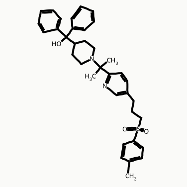 Cc1ccc(S(=O)(=O)CCCc2ccc(C(C)(C)N3CCC(C(O)(c4ccccc4)c4ccccc4)CC3)nc2)cc1